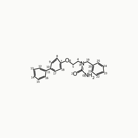 NC(=O)N(CCOc1ccc(-c2ccccc2)cc1)Cc1ccccc1